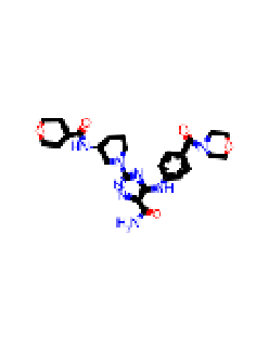 NC(=O)c1nnc(N2CCC[C@@H](NC(=O)C3CCOCC3)C2)nc1Nc1ccc(C(=O)N2CCOCC2)cc1